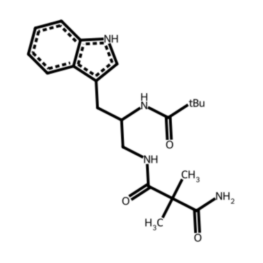 CC(C)(C)C(=O)NC(CNC(=O)C(C)(C)C(N)=O)Cc1c[nH]c2ccccc12